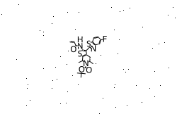 C=CC(=O)Nc1sc2c(c1-c1nc3cc(F)ccc3s1)CC(C)N(C(=O)OC(C)(C)C)C2C